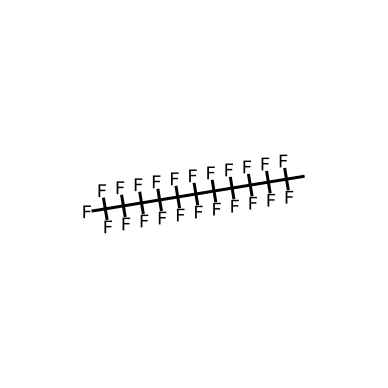 CC(F)(F)C(F)(F)C(F)(F)C(F)(F)C(F)(F)C(F)(F)C(F)(F)C(F)(F)C(F)(F)C(F)(F)C(F)(F)F